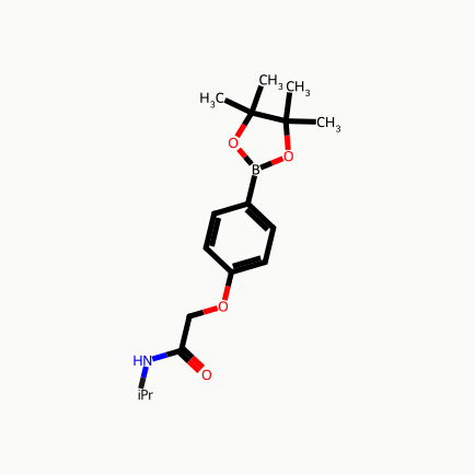 CC(C)NC(=O)COc1ccc(B2OC(C)(C)C(C)(C)O2)cc1